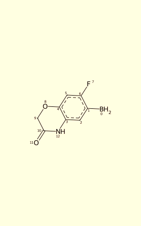 Bc1cc2c(cc1F)OCC(=O)N2